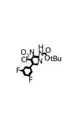 CC(C)(C)OC(=O)Nc1ncc(-c2cc(F)cc(F)c2)c(Cl)c1[N+](=O)[O-]